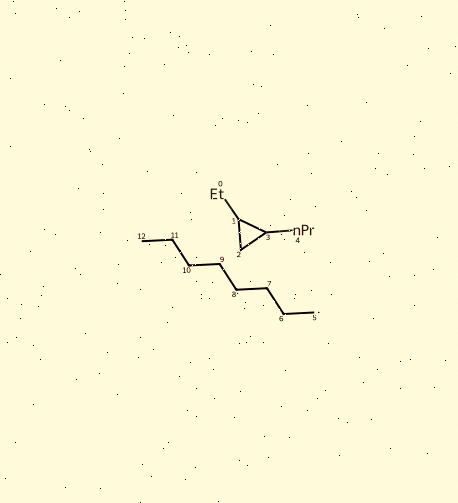 [CH2]CC1CC1CCC.[CH2]CCCCCCC